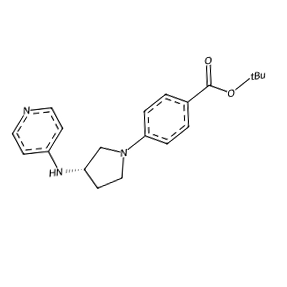 CC(C)(C)OC(=O)c1ccc(N2CC[C@H](Nc3ccncc3)C2)cc1